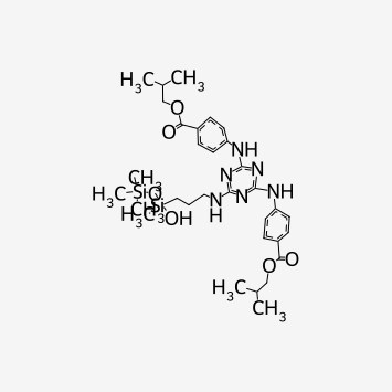 CC(C)COC(=O)c1ccc(Nc2nc(NCCC[Si](C)(O)O[Si](C)(C)C)nc(Nc3ccc(C(=O)OCC(C)C)cc3)n2)cc1